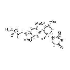 COc1c(C(C)(C)C)cc(-n2ccc(=O)[nH]c2=O)c(F)c1-c1ccc2c(CNS(C)(=O)=O)coc2c1